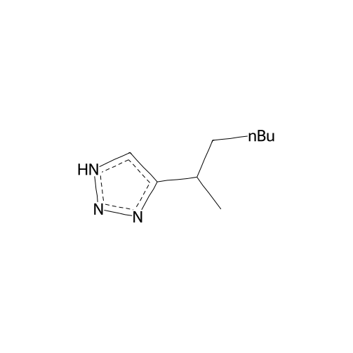 CCCCCC(C)c1c[nH]nn1